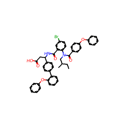 CCC(C)CN(C(=O)c1ccc(Oc2ccccc2)cc1)c1ccc(Br)cc1C(=O)NC(CC(=O)O)c1ccc(-c2ccccc2Oc2ccccc2)cc1